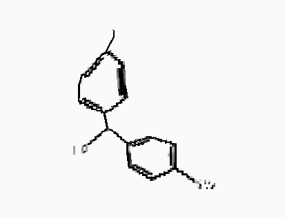 CSc1ccc(C(O)c2ccc(C)cc2)cc1